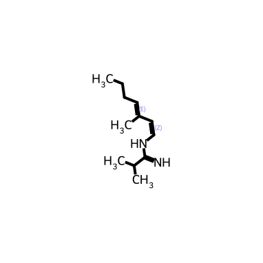 CCC/C=C(C)/C=C\NC(=N)C(C)C